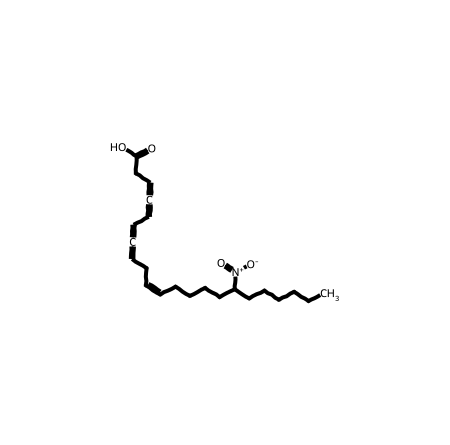 CCCCCCC(CCCC/C=C\CC=C=CC=C=CCC(=O)O)[N+](=O)[O-]